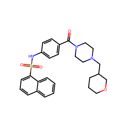 O=C(c1ccc(NS(=O)(=O)c2cccc3ccccc23)cc1)N1CCN(CC2CCCOC2)CC1